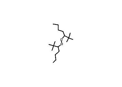 CCCCC(OOC(CCCC)C(C)(C)C)C(C)(C)C